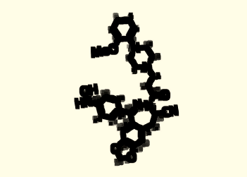 COc1ccccc1N1CCN(CCC(=O)N2N=C(c3ccc(NO)cc3)c3cc4c(cc3CC2C#N)OCO4)CC1